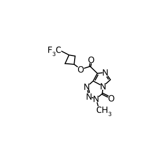 Cn1nnc2c(C(=O)OC3CC(C(F)(F)F)C3)ncn2c1=O